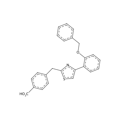 O=C(O)c1ccc(Cc2nc(-c3ccccc3OCc3ccccc3)cs2)cc1